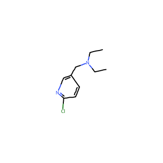 CCN(CC)Cc1ccc(Cl)nc1